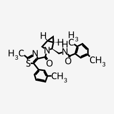 Cc1cccc(-c2sc(C)nc2C(=O)N2C[C@H]3C[C@H]3[C@H]2CNC(=O)c2cc(C)ccc2C)c1